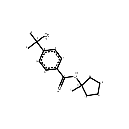 CCC(C)(C)c1ccc(C(=O)OC2(C)CCCC2)cc1